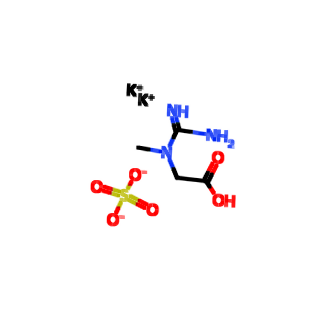 CN(CC(=O)O)C(=N)N.O=S(=O)([O-])[O-].[K+].[K+]